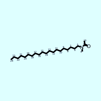 [CH2]C(=O)N(C)CCCCCCCCCCCCCCCCCCCC